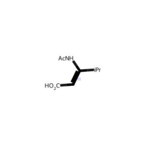 CC(=O)N/C(=C\C(=O)O)C(C)C